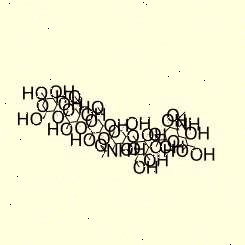 CC(=O)N[C@H]1[C@H](O[C@H]2[C@@H](O)[C@@H](CO)O[C@H](O[C@H]3[C@@H](O)[C@@H](CO)O[C@@H](O[C@H]4[C@H](O)[C@@H](O)[C@H](O)O[C@@H]4CO)[C@@H]3O)[C@@H]2O)O[C@H](CO)[C@@H](O[C@@H]2O[C@H](CO)[C@H](O)[C@H](OC(=O)[C@@]3(O)C[C@H](O)[C@@H](NC(C)=O)[C@H]([C@H](O)[C@H](O)CO)O3)[C@H]2O)[C@@H]1O